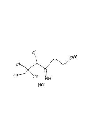 Cl.N=C(CCO)C(Cl)[C](Cl)(Cl)[Sn]